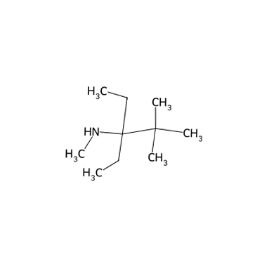 CCC(CC)(NC)C(C)(C)C